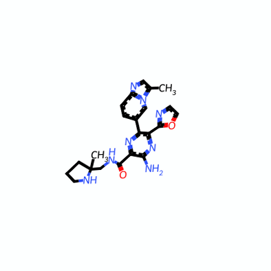 Cc1cnc2ccc(-c3nc(C(=O)NCC4(C)CCCN4)c(N)nc3-c3ncco3)cn12